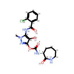 Cn1nc(OC(=O)N[C@@H]2CCCCNC2=O)c(Br)c1NC(=O)c1ccccc1Cl